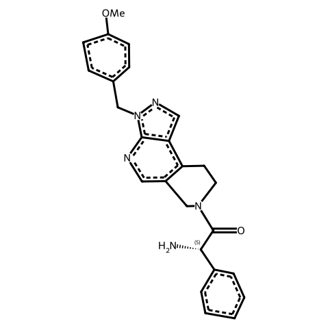 COc1ccc(Cn2ncc3c4c(cnc32)CN(C(=O)[C@@H](N)c2ccccc2)CC4)cc1